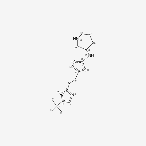 CC(C)(C)c1cnc(CCc2cnc(NC3CCCNC3)s2)o1